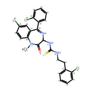 CN1C(=O)C(NC(=S)NCCc2ccccc2Cl)N=C(c2ccccc2Cl)c2cc(Cl)ccc21